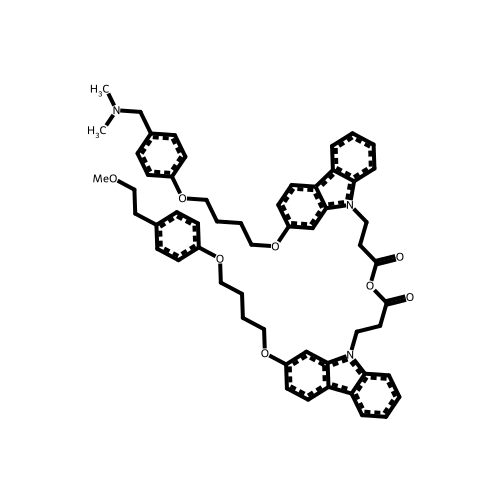 COCCc1ccc(OCCCCOc2ccc3c4ccccc4n(CCC(=O)OC(=O)CCn4c5ccccc5c5ccc(OCCCCOc6ccc(CN(C)C)cc6)cc54)c3c2)cc1